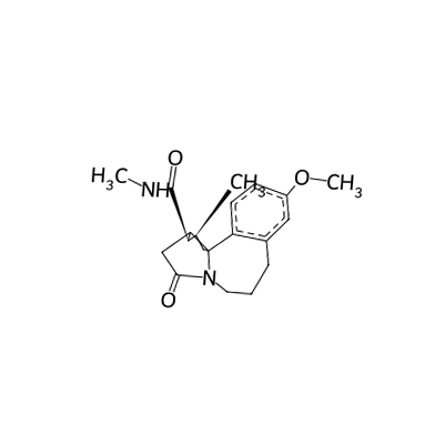 CNC(=O)[C@H]1C2CC(=O)N3CCCc4cc(OC)ccc4C23C[C@@H]1C